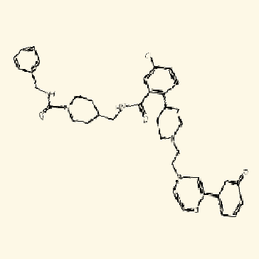 O=C1C=CC=C(C2=CN(CCN3CCC(c4ccc(Cl)cc4C(=O)NCC4CCN(C(=O)NCc5ccccc5)CC4)CC3)C=CO2)C1